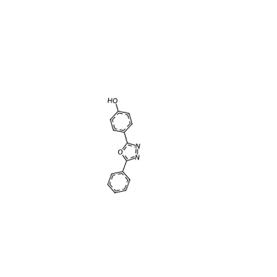 Oc1ccc(-c2nnc(-c3ccccc3)o2)cc1